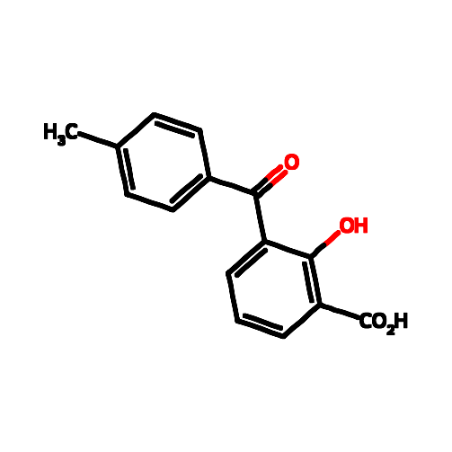 Cc1ccc(C(=O)c2cccc(C(=O)O)c2O)cc1